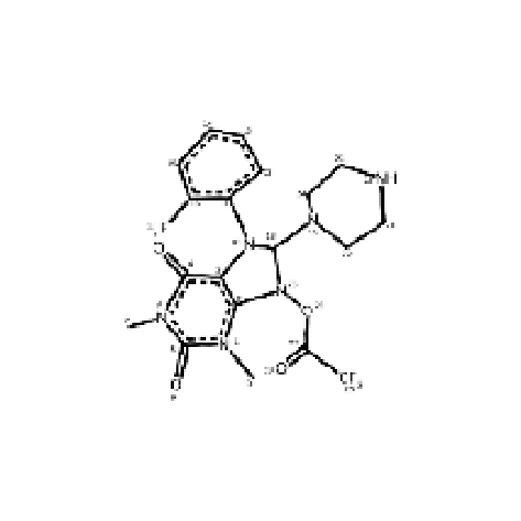 Cn1c2c(c(=O)n(C)c1=O)N(c1ccccc1F)C(N1CCNCC1)N2OC(=O)C(F)(F)F